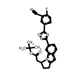 CC(C)(C)OC(=O)CC1CCc2cc3ccc(-c4noc(-c5ccc(F)c(C#N)c5)n4)cc3n21